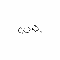 Cc1c(I)cnn1C1CCC2(CC1)OCCO2